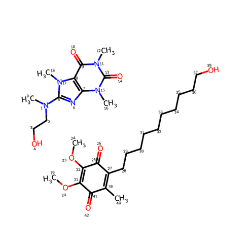 CN(CCO)c1nc2c(c(=O)n(C)c(=O)n2C)n1C.COC1=C(OC)C(=O)C(CCCCCCCCCCO)=C(C)C1=O